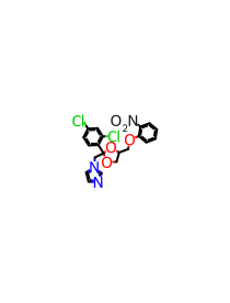 O=[N+]([O-])c1ccccc1OCC1COC(Cn2ccnc2)(c2ccc(Cl)cc2Cl)O1